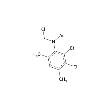 CCc1c(Cl)c(C)cc(C)c1N(CCl)C(C)=O